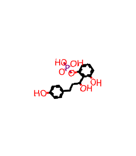 O=P(O)(O)Oc1cccc(O)c1C(O)CCc1ccc(O)cc1